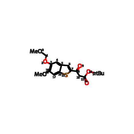 COCOc1cc2cc(C(=O)CC(=O)OC(C)(C)C)sc2cc1OC